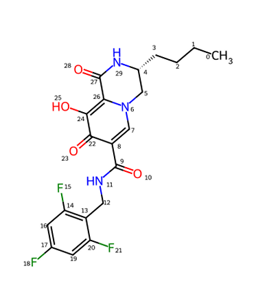 CCCC[C@@H]1Cn2cc(C(=O)NCc3c(F)cc(F)cc3F)c(=O)c(O)c2C(=O)N1